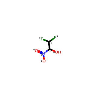 O=[N+]([O-])C(O)C(F)F